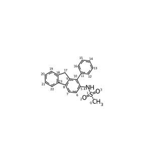 CS(=O)(=O)Nc1ccc2c(c1-c1ccccc1)Cc1ccccc1-2